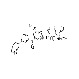 C[C@@H]1CN(C(=O)c2cccc(-c3cccnc3)c2)C[C@H](C)N1Cc1ccc(C(=O)NO)cc1